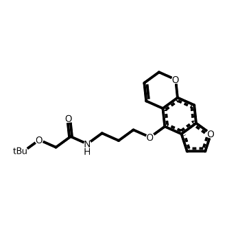 CC(C)(C)OCC(=O)NCCCOc1c2c(cc3occc13)OCC=C2